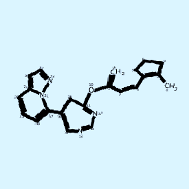 C=C(/C=C\C1=C(C)CCC1)OC1=NC=NC=C(c2cccc3ccnn23)C1